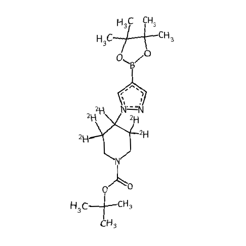 [2H]C1([2H])CN(C(=O)OC(C)(C)C)CC([2H])([2H])C1([2H])n1cc(B2OC(C)(C)C(C)(C)O2)cn1